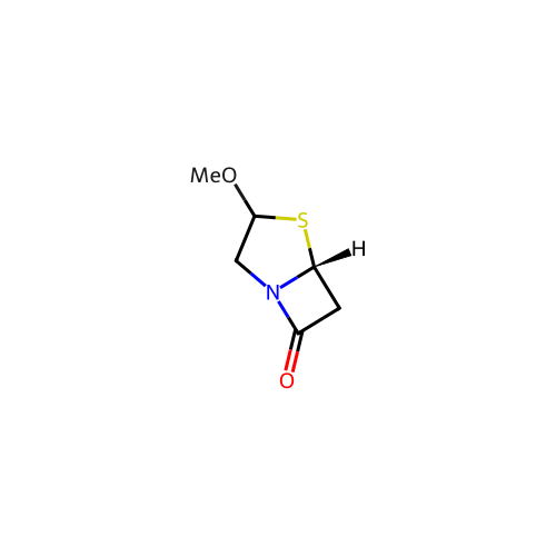 COC1CN2C(=O)C[C@H]2S1